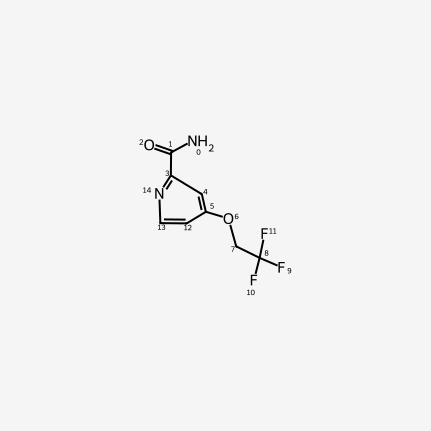 NC(=O)c1cc(OCC(F)(F)F)ccn1